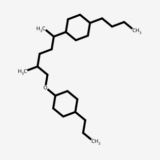 CCCCC1CCC(C(C)CCC(C)COC2CCC(CCC)CC2)CC1